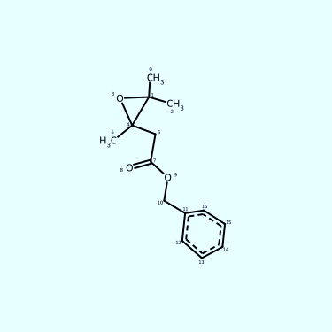 CC1(C)OC1(C)CC(=O)OCc1ccccc1